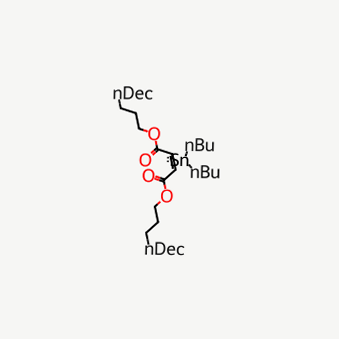 CCCCCCCCCCCCCOC(=O)/C=C\C(=O)OCCCCCCCCCCCCC.CCC[CH2][Sn][CH2]CCC